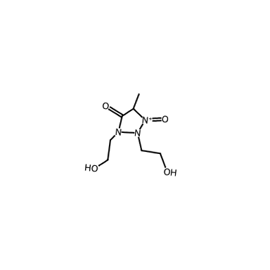 CC1C(=O)N(CCO)N(CCO)[N+]1=O